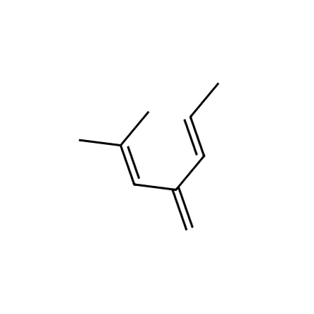 C=C(C=CC)C=C(C)C